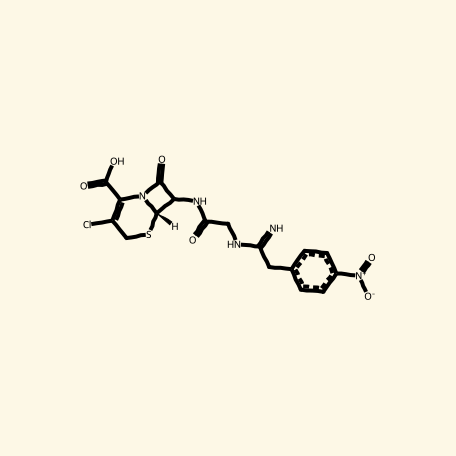 N=C(Cc1ccc([N+](=O)[O-])cc1)NCC(=O)NC1C(=O)N2C(C(=O)O)=C(Cl)CS[C@@H]12